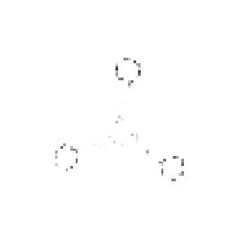 c1ccc(CCN2CN(CCc3ccccc3)CN(CCc3ccccc3)C2)cc1